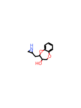 OC1COc2ccccc2OC1CC1CN1